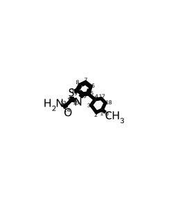 CC1CCC(c2cccc3sc(C(N)=O)nc23)CC1